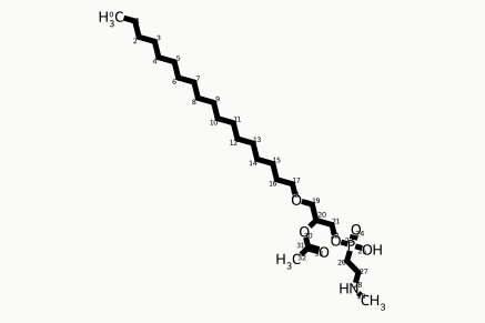 CCCCCCCCCCCCCCCCCCOCC(COP(=O)(O)CCNC)OC(C)=O